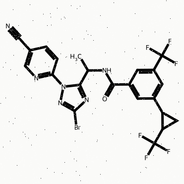 CC(NC(=O)c1cc(C2CC2C(F)(F)F)cc(C(F)(F)F)c1)c1nc(Br)nn1-c1ccc(C#N)cn1